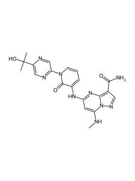 CNc1cc(Nc2cccn(-c3cnc(C(C)(C)O)cn3)c2=O)nc2c(C(N)=O)cnn12